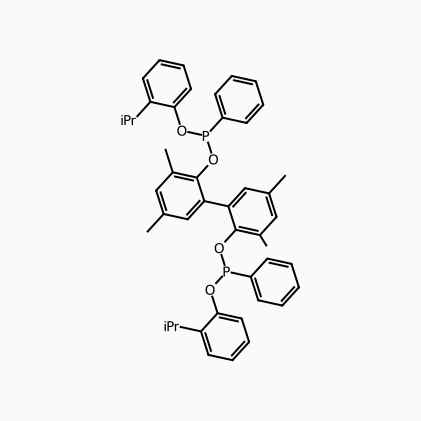 Cc1cc(C)c(OP(Oc2ccccc2C(C)C)c2ccccc2)c(-c2cc(C)cc(C)c2OP(Oc2ccccc2C(C)C)c2ccccc2)c1